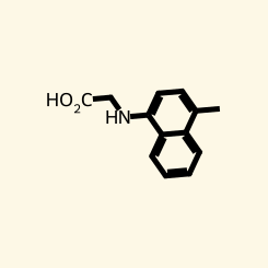 Cc1ccc(NCC(=O)O)c2ccccc12